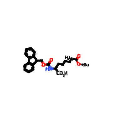 CC(C)(C)OC(=O)[AsH]CCCCC(NC(=O)OCC1c2ccccc2-c2ccccc21)C(=O)O